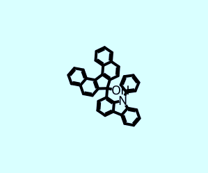 OC1(c2cccc3c4ccccc4n(-c4ccccc4)c23)c2ccc3ccccc3c2-c2c1ccc1ccccc21